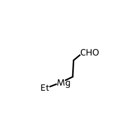 C[CH2][Mg][CH2]CC=O